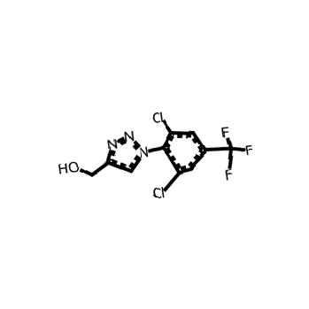 OCc1cn(-c2c(Cl)cc(C(F)(F)F)cc2Cl)nn1